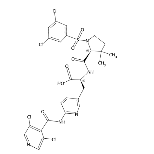 CC1(C)CCN(S(=O)(=O)c2cc(Cl)cc(Cl)c2)[C@@H]1C(=O)N[C@@H](Cc1ccc(NC(=O)c2c(Cl)cncc2Cl)nc1)C(=O)O